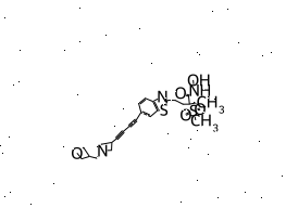 CC(CCc1nc2ccc(C#CC#CC3CN(CC4COC4)C3)cc2s1)(C(=O)NO)S(C)(=O)=O